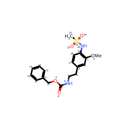 COc1cc(CCNC(=O)OCc2ccccc2)ccc1NS(C)(=O)=O